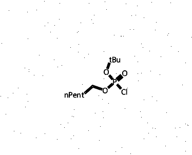 CCCCCCOP(=O)(Cl)OC(C)(C)C